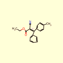 CCOC(=O)/C(C#N)=C(\c1ccccc1)c1ccc(C)cc1